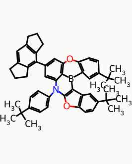 CC(C)(C)c1ccc(N2c3cc(-c4c5c(cc6c4CCC6)CCC5)cc4c3B(c3cc(C(C)(C)C)ccc3O4)c3c2oc2ccc(C(C)(C)C)cc32)cc1